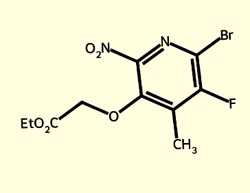 CCOC(=O)COc1c([N+](=O)[O-])nc(Br)c(F)c1C